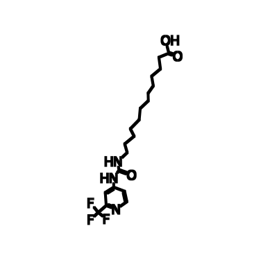 O=C(O)CCCCCCCCCCCCNC(=O)Nc1ccnc(C(F)(F)F)c1